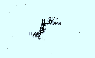 COc1cc(CCc2cc(-c3nc4cc(N5C[C@@H](C)N[C@@H](C)C5)ccc4[nH]3)n[nH]2)cc(OC)c1